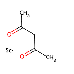 CC(=O)CC(C)=O.[Sc]